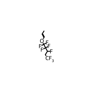 CC=COC(F)(F)C(F)(F)C(F)CC(F)(F)F